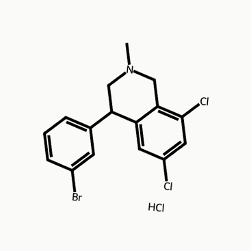 CN1Cc2c(Cl)cc(Cl)cc2C(c2cccc(Br)c2)C1.Cl